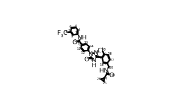 O=C(Nc1cccc(C(F)(F)F)c1)c1ccc(-n2nc(-c3cc(CNC(=O)C4CC4)ccc3Cl)[nH]c2=O)cc1